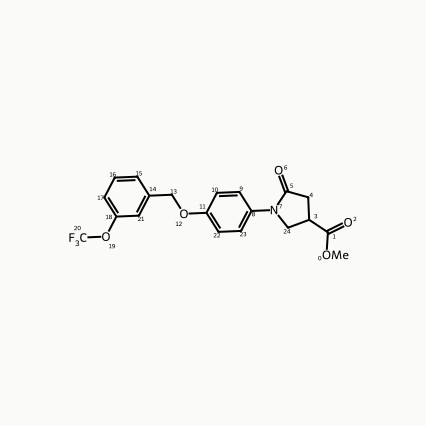 COC(=O)C1CC(=O)N(c2ccc(OCc3cccc(OC(F)(F)F)c3)cc2)C1